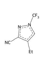 CCc1cn(C(F)(F)F)nc1C#N